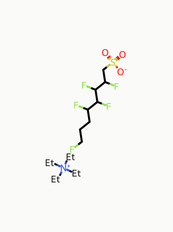 CC[N+](CC)(CC)CC.O=S(=O)([O-])CC(F)C(F)C(F)C(F)CCCF